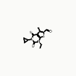 CCn1c(=O)n(C2CC2)c(=O)c2c(C)c(C=O)sc21